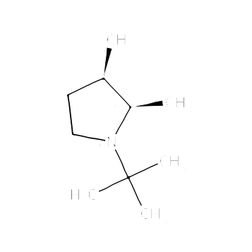 C[C@@H]1CCN(C(C)(C)C)[C@@H]1C